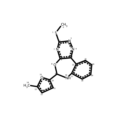 CSc1nnc2c(n1)OC(c1ccc(C)o1)Nc1ccccc1-2